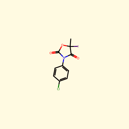 CC1(I)OC(=O)N(c2ccc(Cl)cc2)C1=O